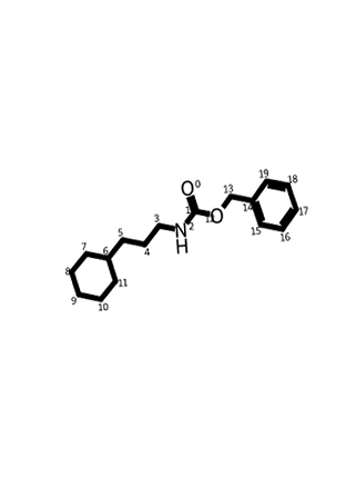 O=C(NCCCC1CCCCC1)OCc1ccccc1